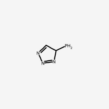 PC1C=NN=N1